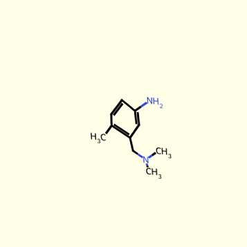 Cc1ccc(N)cc1CN(C)C